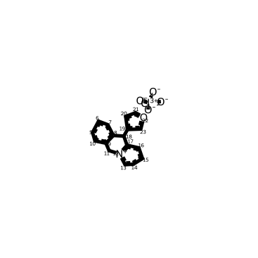 [O-][Cl+3]([O-])([O-])[O-].c1ccc2c(c1)C[n+]1ccccc1C2c1ccoc1